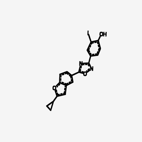 Oc1ccc(-c2noc(-c3ccc4oc(C5CC5)cc4c3)n2)cc1I